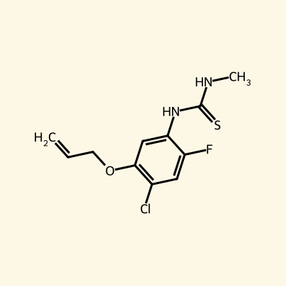 C=CCOc1cc(NC(=S)NC)c(F)cc1Cl